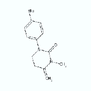 C=C1CCN(c2ccc(C(C)(C)C)cc2)C(=O)N1C